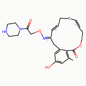 Cc1cc(O)cc2c1C(=O)OCC/C=C/CC/C=C/C(=N\OCC(=O)N1CCNCC1)C2